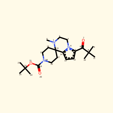 CN1CCn2c(C(=O)C(C)(C)C)ccc2C12CCN(C(=O)OC(C)(C)C)CC2